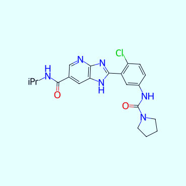 CC(C)NC(=O)c1cnc2nc(-c3cc(NC(=O)N4CCCC4)ccc3Cl)[nH]c2c1